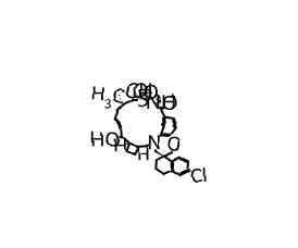 C[C@@H]1[C@@H](C)C/C=C/C(O)[C@@H]2CC[C@H]2CN2C[C@@]3(CCCc4cc(Cl)ccc43)COc3ccc(cc32)C(=O)NS1(=O)=O